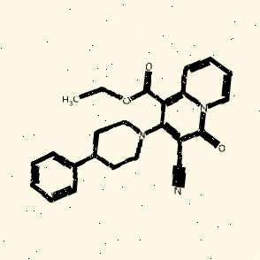 CCOC(=O)c1c(N2CCC(c3ccccc3)CC2)c(C#N)c(=O)n2ccccc12